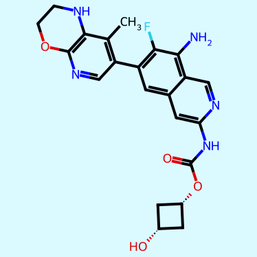 Cc1c(-c2cc3cc(NC(=O)O[C@H]4C[C@@H](O)C4)ncc3c(N)c2F)cnc2c1NCCO2